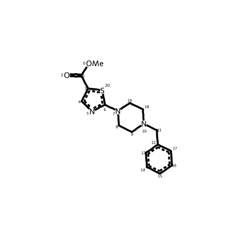 COC(=O)c1cnc(N2CCN(Cc3ccccc3)CC2)s1